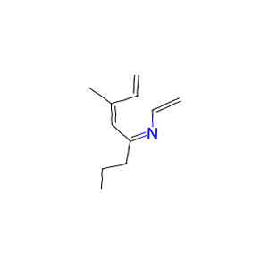 C=C/N=C(\C=C(\C)C=C)CCC